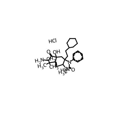 COC1C=C(C(C)(C)C)C(O)(C(=O)CN)CC1(CCC1CCCCC1)N(C(N)=O)c1ccccc1.Cl